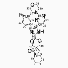 CC1(C(=O)N2CCCCC2)COC(c2nc(-c3ccc(F)cc3)c(-c3ccnc(N4CCOCC4)n3)[nH]2)OC1